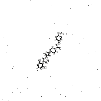 COc1ncc(OCC(=O)N2CCC(c3nc(C4=NOC(c5c(Cl)cccc5Cl)C4)cs3)CC2)cn1